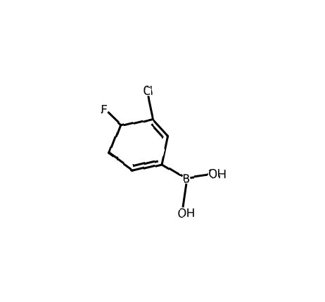 OB(O)C1=CCC(F)C(Cl)=C1